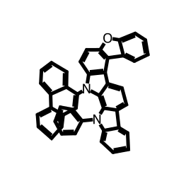 c1ccc(-n2c3ccccc3c3ccc4c5c6c(ccc5n(-c5cc7ccccc7c7ccccc57)c4c32)oc2ccccc26)cc1